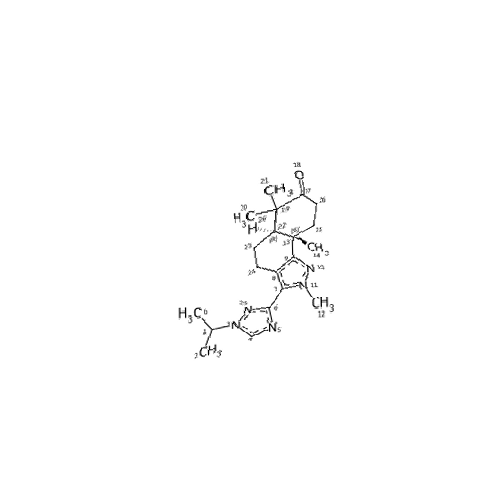 CC(C)n1cnc(-c2c3c(nn2C)[C@@]2(C)CCC(=O)C(C)(C)[C@@H]2CC3)n1